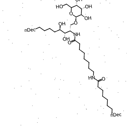 CCCCCCCCCCCCCCCCC(=O)NCCCCCCCC(=O)N[C@@H](CO[C@H]1OC(CO)[C@H](O)[C@H](O)C1O)[C@H](O)[C@H](O)CCCCCCCCCCCCCC